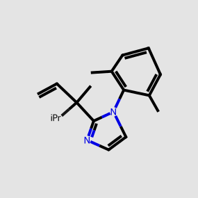 C=CC(C)(c1nccn1-c1c(C)cccc1C)C(C)C